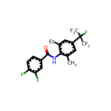 CCc1cc(C(F)(C(F)(F)F)C(F)(F)F)cc(C)c1NC(=O)c1ccc(F)c(F)c1